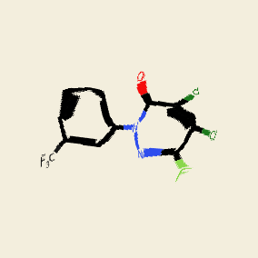 O=c1c(Cl)c(Cl)c(F)nn1-c1cccc(C(F)(F)F)c1